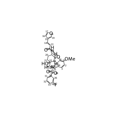 COc1ccc2c3c1O[C@H]1[C@H](NC(=O)/C=C/c4ccoc4)CC[C@@]4(O)[C@@H](C2)N(S(=O)(=O)c2cccc(F)c2)CC[C@]314